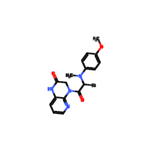 CCC(C(=O)N1CC(=O)Nc2cccnc21)N(C)c1ccc(OC(F)(F)F)cc1